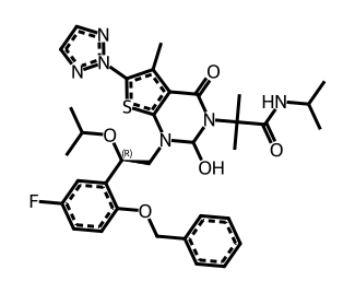 Cc1c(-n2nccn2)sc2c1C(=O)N(C(C)(C)C(=O)NC(C)C)C(O)N2C[C@H](OC(C)C)c1cc(F)ccc1OCc1ccccc1